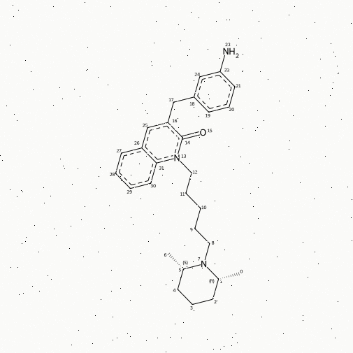 C[C@@H]1CCC[C@H](C)N1CCCCCn1c(=O)c(Cc2cccc(N)c2)cc2ccccc21